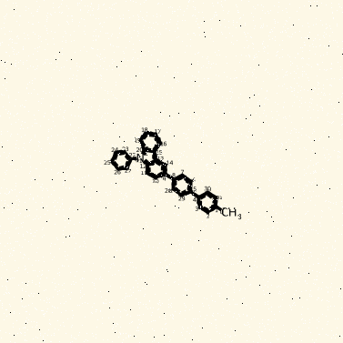 Cc1ccc(-c2ccc(-c3ccc4c(c3)c3ccccc3n4-c3ccccc3)cc2)cc1